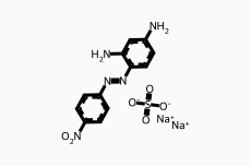 Nc1ccc(N=Nc2ccc([N+](=O)[O-])cc2)c(N)c1.O=S(=O)([O-])[O-].[Na+].[Na+]